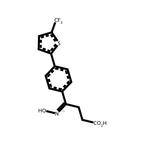 O=C(O)CC/C(=N/O)c1ccc(-c2ccc(C(F)(F)F)s2)cc1